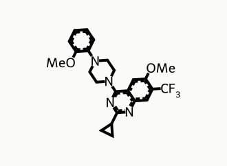 COc1ccccc1N1CCN(c2nc(C3CC3)nc3cc(C(F)(F)F)c(OC)cc23)CC1